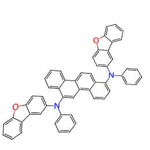 c1ccc(N(c2ccc3oc4ccccc4c3c2)c2cc3c4cccc(N(c5ccccc5)c5ccc6oc7ccccc7c6c5)c4ccc3c3ccccc23)cc1